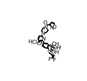 CN1c2cc(-c3nc(N4CCN(C(=O)c5ccon5)CC4)ccc3C#N)ccc2N(CC2CC2(F)F)S1(O)O.Cl